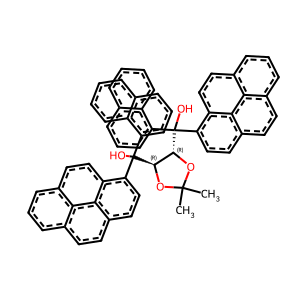 CC1(C)O[C@@H](C(O)(c2cccc3ccccc23)c2ccc3ccc4cccc5ccc2c3c45)[C@H](C(O)(c2cccc3ccccc23)c2ccc3ccc4cccc5ccc2c3c45)O1